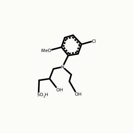 COc1ccc(Cl)cc1N(CCO)CC(O)CS(=O)(=O)O